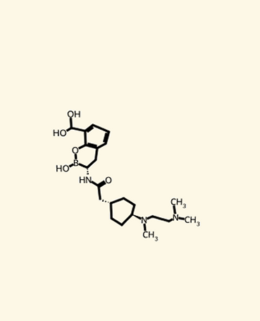 CN(C)CCN(C)[C@H]1CC[C@H](CC(=O)N[C@H]2Cc3cccc(C(O)O)c3OB2O)CC1